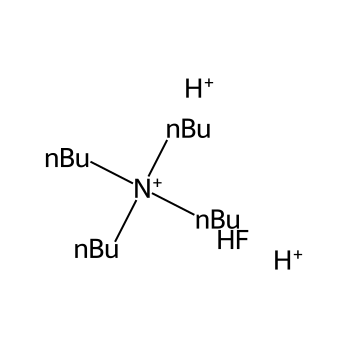 CCCC[N+](CCCC)(CCCC)CCCC.F.[H+].[H+]